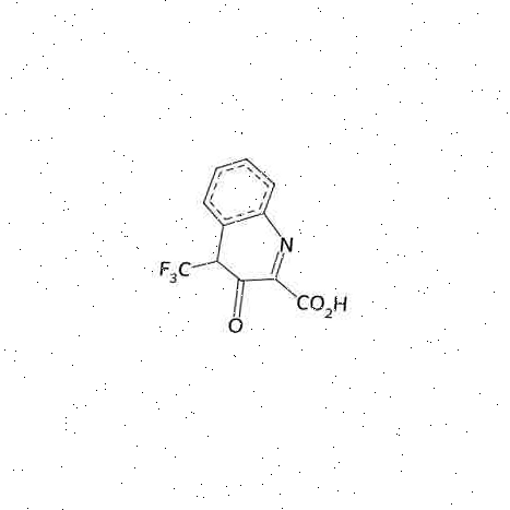 O=C(O)C1=Nc2ccccc2C(C(F)(F)F)C1=O